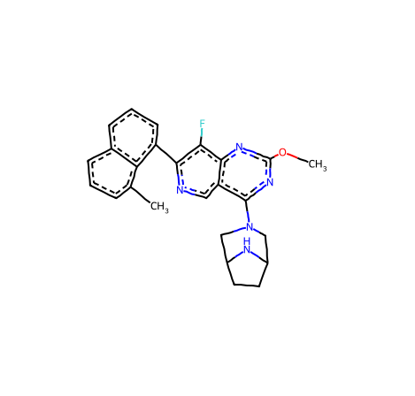 COc1nc(N2CC3CCC(C2)N3)c2cnc(-c3cccc4cccc(C)c34)c(F)c2n1